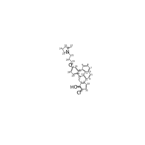 Cc1c(-c2ccc3ccccc3c2Cc2ccc(OCCCN3CCCC3C)cc2)ccc(Cl)c1O